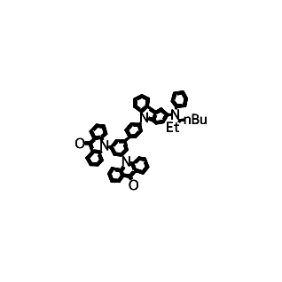 CCCCC(CC)N(c1ccccc1)c1ccc2c(c1)c1ccccc1n2-c1ccc(-c2cc(-n3c4ccccc4c(=O)c4ccccc43)cc(-n3c4ccccc4c(=O)c4ccccc43)c2)cc1